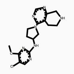 COc1nc(NC2CCN(c3ncnc4c3CCNC4)C2)ncc1Cl